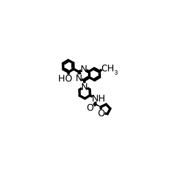 Cc1ccc2c(N3CCCC(NC(=O)[C@H]4CCCO4)C3)nc(-c3ccccc3O)nc2c1